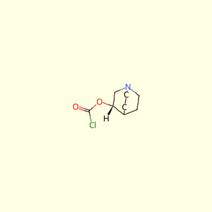 O=C(Cl)O[C@@H]1CN2CCC1CC2